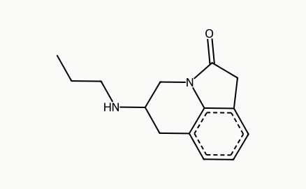 CCCNC1Cc2cccc3c2N(C1)C(=O)C3